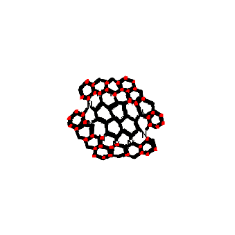 c1ccc(N(c2ccccc2)c2c(N(c3ccccc3)c3ccccc3)c3c(N(c4ccccc4)c4ccccc4)c(N(c4ccccc4)c4ccccc4)c4c(N(c5ccccc5)c5ccccc5)c(N(c5ccccc5)c5ccccc5)c(N(c5ccccc5)c5ccccc5)c5c(N(c6ccccc6)c6ccccc6)c(N(c6ccccc6)c6ccccc6)c(c2N(c2ccccc2)c2ccccc2)c3c45)cc1